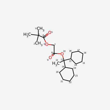 CC(C)(C)C(=O)OCC(=O)OC(C)(C1CCCCC1)C1CCCCC1